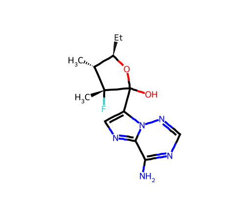 CC[C@H]1OC(O)(c2cnc3c(N)ncnn23)[C@](C)(F)[C@@H]1C